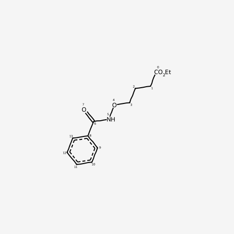 CCOC(=O)CCCONC(=O)c1ccccc1